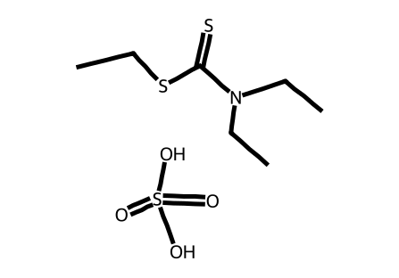 CCSC(=S)N(CC)CC.O=S(=O)(O)O